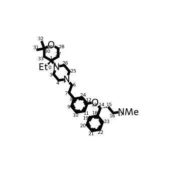 CC[C@]1(N2CCN(CCc3cccc(O[C@H](CCNC)c4ccccc4)c3)CC2)CCOC(C)(C)C1